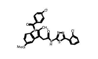 COc1ccc2c(c1)c(CC(=O)Nc1nnc(-c3ccccc3Cl)s1)c(C)n2C(=O)c1ccc(Cl)cc1